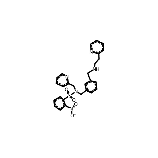 O=[N+]([O-])c1ccccc1S(=O)(=O)N(Cc1cccc(CNCCc2ccccn2)c1)Cc1ccccn1